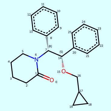 O=C1CCCCN1[C@H](c1ccccc1)[C@@H](OCC1CC1)c1ccccc1